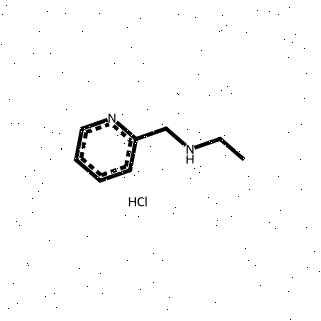 CCNCc1ccccn1.Cl